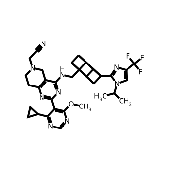 COc1ncnc(C2CC2)c1-c1nc2c(c(NCC34C5C6C3C3C4C5C63c3nc(C(F)(F)F)cn3C(C)C)n1)CN(CC#N)CC2